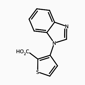 O=C(O)c1sccc1-n1cnc2ccccc21